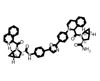 NC(=O)[C@@H]1C[C@@H]2C[C@@H]2N1C(=O)C1c2ccccc2C=CN1c1ccc(-c2ncc(-c3ccc(NC(=O)[C@@H]4C[C@@H]5C[C@@H]5N4C(=O)c4nccc5ccccc45)cc3)o2)cc1